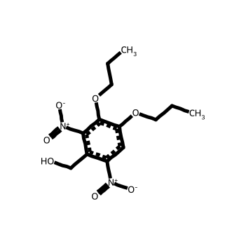 CCCOc1cc([N+](=O)[O-])c(CO)c([N+](=O)[O-])c1OCCC